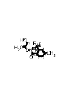 Cc1ccc(C(=O)NOC(C)CO)c(C(F)(F)F)c1